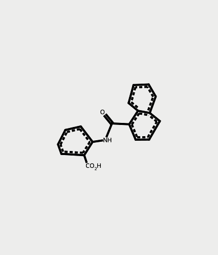 O=C(O)c1ccccc1NC(=O)c1cccc2ccccc12